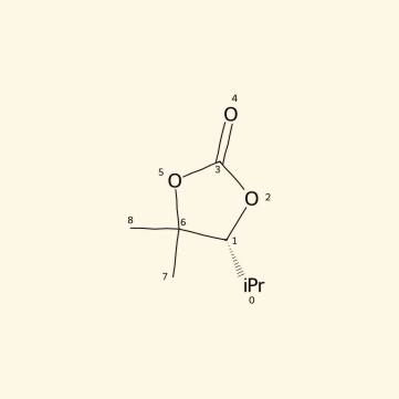 CC(C)[C@H]1OC(=O)OC1(C)C